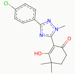 Cn1nc(-c2ccc(Cl)cc2)nc1C1=C(O)C(C)(C)CCC1=O